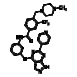 CN1CCN(Cc2ccc(C(=O)Nc3cccc(Oc4nc(-c5ccncc5)nc5[nH]ncc45)c3)cc2C(F)(F)F)CC1